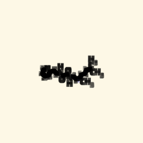 CC(C)=CCC/C(C)=C\CNC(=O)C(=O)NCCc1ccccn1